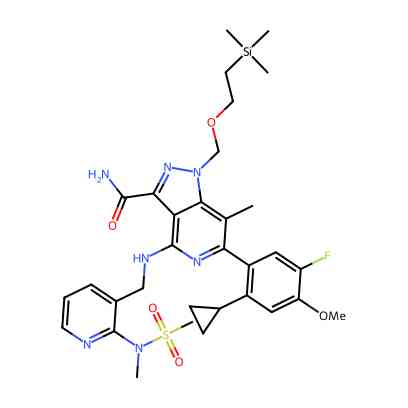 COc1cc(C2CC2)c(-c2nc(NCc3cccnc3N(C)S(C)(=O)=O)c3c(C(N)=O)nn(COCC[Si](C)(C)C)c3c2C)cc1F